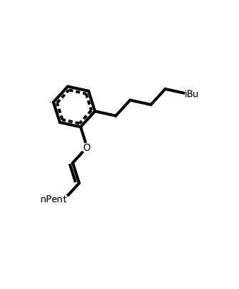 CCCCCC=COc1c[c]ccc1CCCCC(C)CC